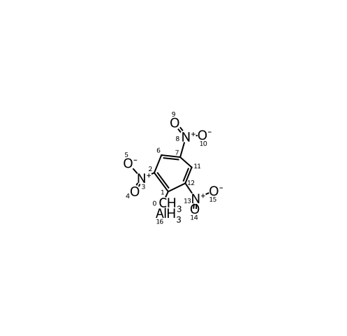 Cc1c([N+](=O)[O-])cc([N+](=O)[O-])cc1[N+](=O)[O-].[AlH3]